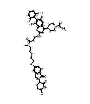 CN(CCOCCOc1ccc2c(c1)CN(C1CCC(=O)NC1=O)C2=O)C(=O)CCNc1nc(N2CCN(C(N)=O)CC2)c2cc(Cl)c(-c3c(O)cccc3F)c(F)c2n1